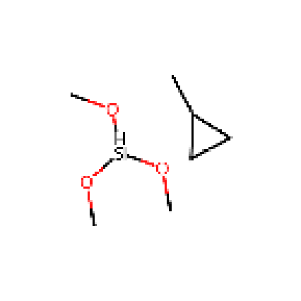 CC1CC1.CO[SiH](OC)OC